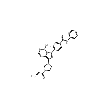 C=CC(=O)N1CCC(c2cc(-c3ccc(C(=O)Nc4ccccn4)cc3)n3c(N)nccc23)C1